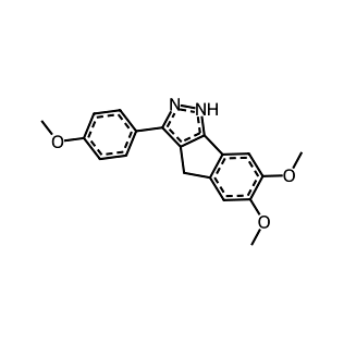 COc1ccc(-c2n[nH]c3c2Cc2cc(OC)c(OC)cc2-3)cc1